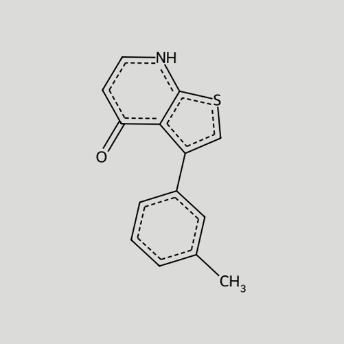 Cc1cccc(-c2csc3[nH]ccc(=O)c23)c1